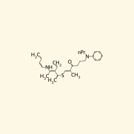 C=C/C=C\N/C(C)=C(\C=C)C(=C)S/C=C(\C)C(=O)CCCN(CCC)c1ccccc1